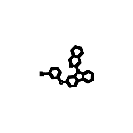 Brc1cccc(Oc2ccc3c4ccccc4n(-c4cc5ccccc5cn4)c3c2)c1